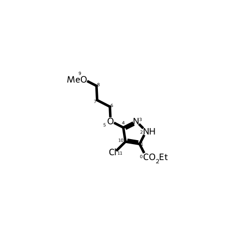 CCOC(=O)c1[nH]nc(OCCCOC)c1Cl